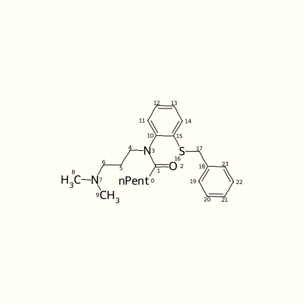 CCCCCC(=O)N(CCCN(C)C)c1ccccc1SCc1ccccc1